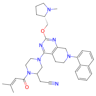 CC(C)=CC(=O)N1CCN(c2nc(OC[C@@H]3CCCN3C)nc3c2CCN(c2cccc4ccccc24)C3)CC1CC#N